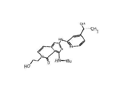 C[C@@H](O)c1ccnc(Nc2cc3ccn(CCO)c(=O)c3c(NC(C)(C)C)n2)c1